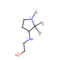 CCN1CCC(NCCO)C1(CC)CC